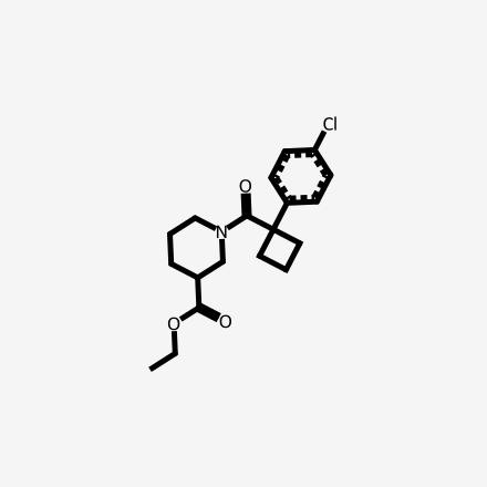 CCOC(=O)C1CCCN(C(=O)C2(c3ccc(Cl)cc3)CCC2)C1